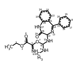 CCOC(=O)C(=N)OC(NC)NC1N=C(c2ccccc2)c2ccccc2NC1=O